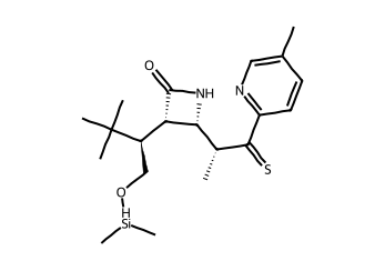 Cc1ccc(C(=S)[C@H](C)[C@H]2NC(=O)[C@H]2[C@@H](CO[SiH](C)C)C(C)(C)C)nc1